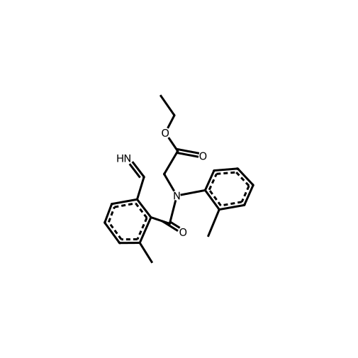 CCOC(=O)CN(C(=O)c1c(C)cccc1C=N)c1ccccc1C